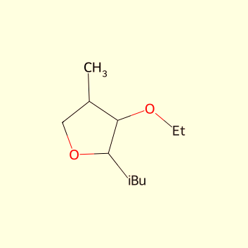 CCOC1C(C)COC1C(C)CC